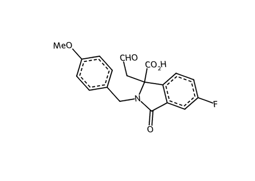 COc1ccc(CN2C(=O)c3cc(F)ccc3C2(CC=O)C(=O)O)cc1